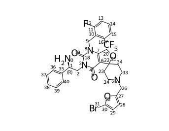 N[C@@H](Cn1c(=O)c2c(n(Cc3c(F)cccc3C(F)(F)F)c1=O)COC21CCN(Cc2ccc(Br)o2)CC1)c1ccccc1